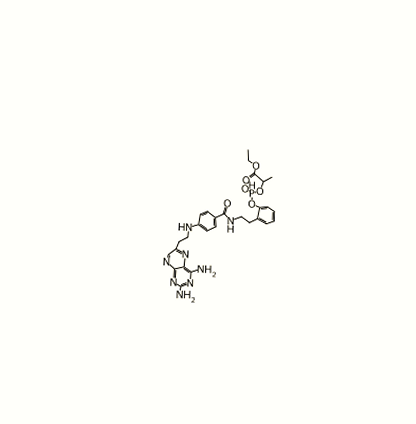 CCOC(=O)C(C)O[PH](=O)Oc1ccccc1CCNC(=O)c1ccc(NCCc2cnc3nc(N)nc(N)c3n2)cc1